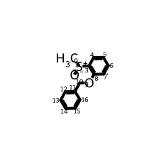 C[S+]([O-])c1ccc[c]c1OCc1ccccc1